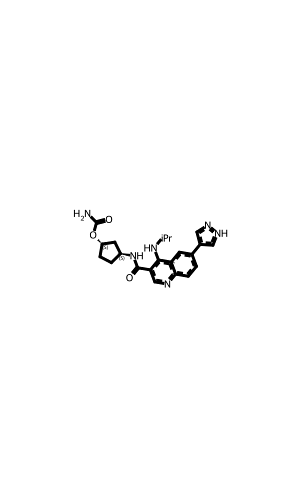 CC(C)Nc1c(C(=O)N[C@H]2CC[C@H](OC(N)=O)C2)cnc2ccc(-c3cn[nH]c3)cc12